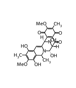 COC1=C(C)C(=O)C2=C(C1=O)[C@@H]1C3=Cc4c(O)c(C)c(OC)c(O)c4[C@H](C)N3[C@@H](O)[C@@H](C2=O)N1C